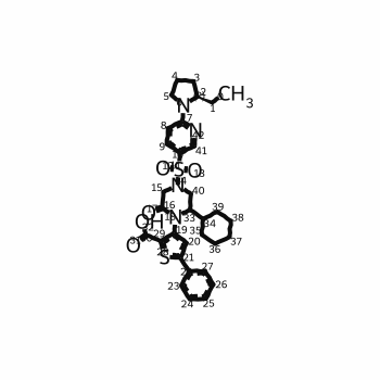 CC[C@@H]1CCCN1c1ccc(S(=O)(=O)N2CC(=O)N(c3cc(-c4ccccc4)sc3C(=O)O)C(C3CCCCC3)C2)cn1